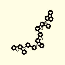 c1cc(-c2cccc(-n3c4ccccc4c4c5oc6ccc(-c7cccc8c7oc7c8ccc8c7c7ccccc7n8-c7ccc8c9c(cccc79)-c7ccccc7-8)cc6c5ccc43)c2)cc(-n2c3ccccc3c3c4oc5ccccc5c4ccc32)c1